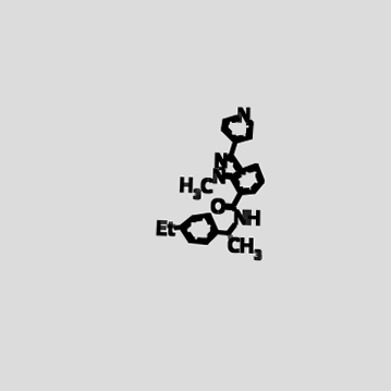 CCc1ccc([C@@H](C)NC(=O)c2cccc3c(-c4ccncc4)nn(C)c23)cc1